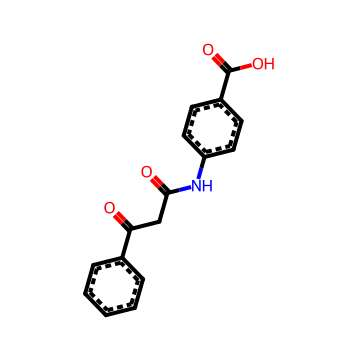 O=C(CC(=O)c1ccccc1)Nc1ccc(C(=O)O)cc1